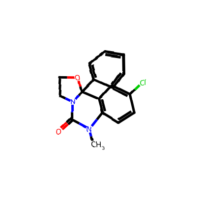 CN1C(=O)N2CCOC2(c2ccccc2)c2cc(Cl)ccc21